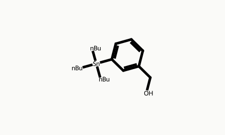 CCC[CH2][Sn]([CH2]CCC)([CH2]CCC)[c]1cccc(CO)c1